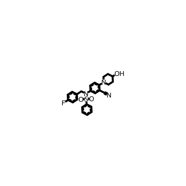 N#Cc1cc(N(Cc2ccc(F)cc2)S(=O)(=O)c2ccccc2)ccc1N1CCC(O)CC1